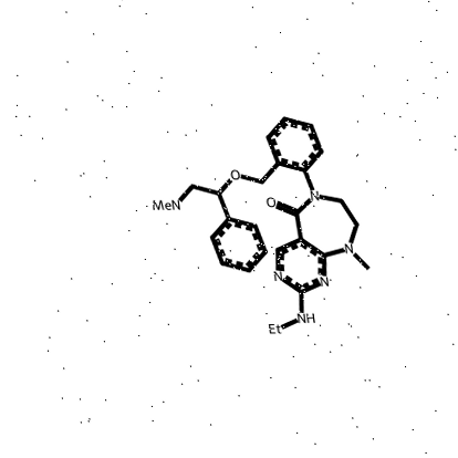 CCNc1ncc2c(n1)N(C)CCN(c1ccccc1COC(CNC)c1ccccc1)C2=O